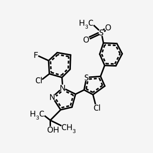 CC(C)(O)c1cc(-c2sc(-c3cccc(S(C)(=O)=O)c3)cc2Cl)n(-c2cccc(F)c2Cl)n1